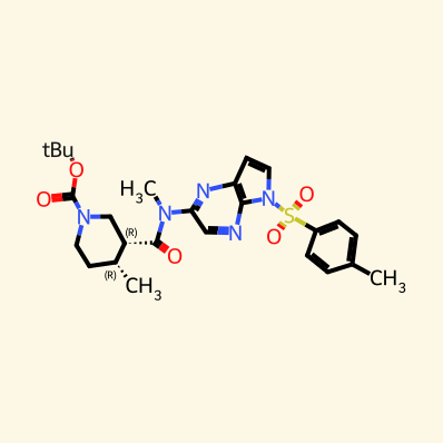 Cc1ccc(S(=O)(=O)n2ccc3nc(N(C)C(=O)[C@H]4CN(C(=O)OC(C)(C)C)CC[C@H]4C)cnc32)cc1